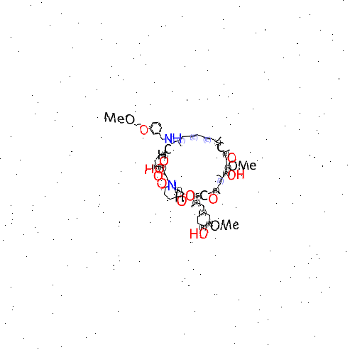 COCCOc1cccc(CNC2C[C@@H]3CC[C@@H](C)[C@@](O)(O3)C(=O)C(=O)N3CCCC[C@H]3C(=O)O[C@H]([C@H](C)C[C@@H]3CC[C@@H](O)[C@H](OC)C3)CC(=O)[C@H](C)/C=C(\C)[C@@H](O)[C@@H](OC)C(=O)[C@H](C)C[C@H](C)/C=C/C=C/C=C/2C)c1